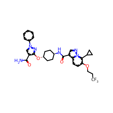 NC(=O)c1cn(-c2ccccc2)nc1O[C@H]1CC[C@H](NC(=O)c2cnn3c(C4CC4)c(OCCC(F)(F)F)ccc23)CC1